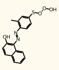 Cc1cc(SOOO)ccc1/N=N/c1c(O)ccc2ccccc12